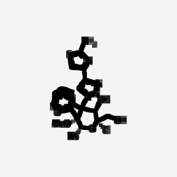 CO[C@@]1(c2ncco2)[C@@H](S)O[C@](Cl)(CO)[C@H](O)C1(c1cccnc1)n1cc(-c2csc(N)n2)nn1